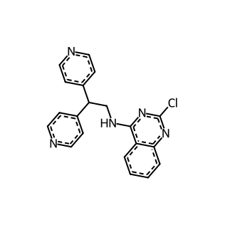 Clc1nc(NCC(c2ccncc2)c2ccncc2)c2ccccc2n1